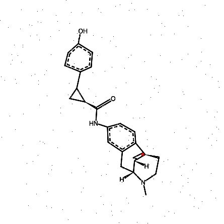 CN1CC[C@]23CCCC[C@H]2[C@H]1Cc1cc(NC(=O)[C@H]2CC2c2ccc(O)cc2)ccc13